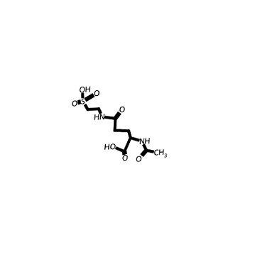 CC(=O)NC(CCC(=O)NCCS(=O)(=O)O)C(=O)O